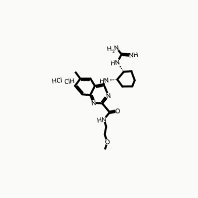 COCCNC(=O)c1nc(N[C@H]2CCCC[C@H]2NC(=N)N)c2cc(C)ccc2n1.Cl.Cl